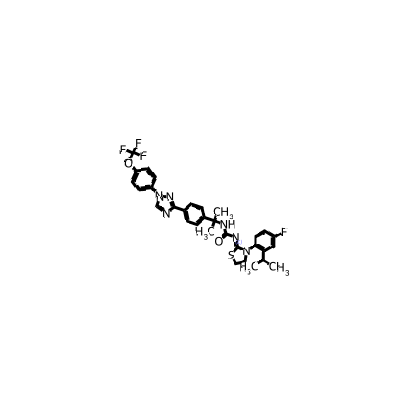 CC(C)c1cc(F)ccc1N1CCS/C1=N\C(=O)NC(C)(C)c1ccc(-c2ncn(-c3ccc(OC(F)(F)F)cc3)n2)cc1